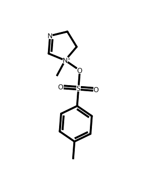 Cc1ccc(S(=O)(=O)O[N+]2(C)C=NCC2)cc1